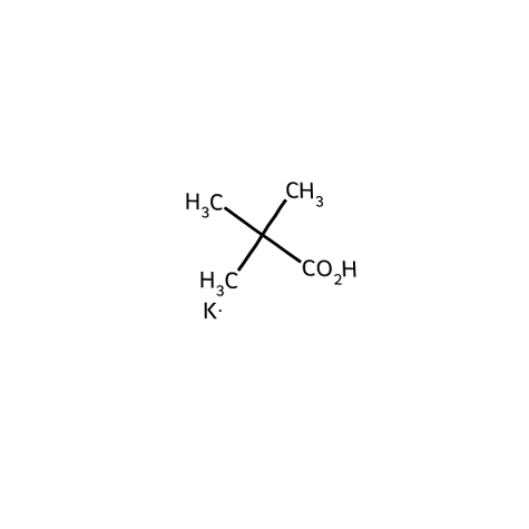 CC(C)(C)C(=O)O.[K]